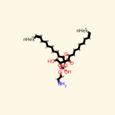 CCCCCC/C=C\CCCCCCCC(=O)C(OP(=O)(O)OCCN)(C(=O)CCCCCCC/C=C\CCCCCC)[C@@H](O)CO